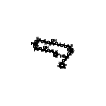 OC(COCCOCOCC(F)(F)OC(F)(F)COCC(O)COc1ccccc1)COCCOCC(F)(F)OC(F)(F)OC(F)(F)COCC(O)COCCc1cccs1